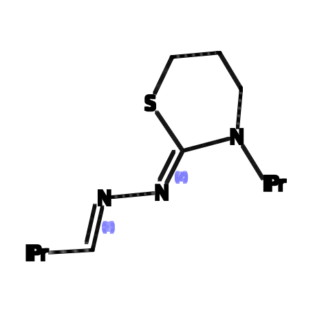 CC(C)/C=N/N=C1\SCCCN1C(C)C